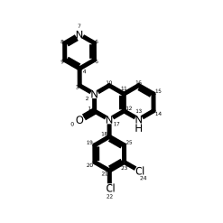 O=C1N(Cc2ccncc2)CC2=C(NCC=C2)N1c1ccc(Cl)c(Cl)c1